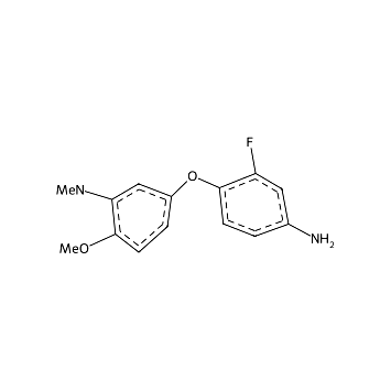 CNc1cc(Oc2ccc(N)cc2F)ccc1OC